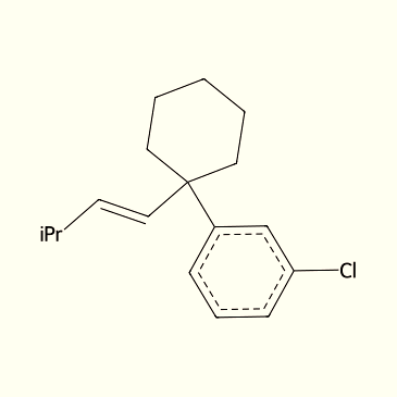 CC(C)/C=C/C1(c2cccc(Cl)c2)CCCCC1